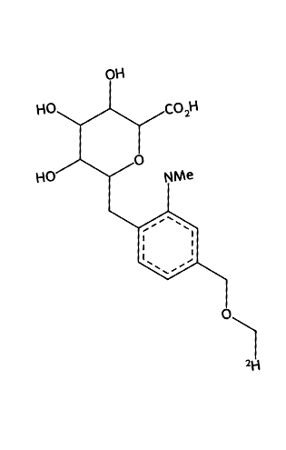 [2H]COCc1ccc(CC2OC(C(=O)O)C(O)C(O)C2O)c(NC)c1